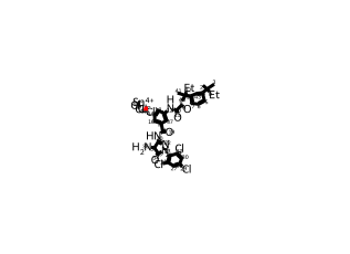 CCC(C)(C)c1ccc(OCC(=O)Nc2cccc(C(=O)NC3=NN(c4c(Cl)cc(Cl)cc4Cl)C(=O)C3N)c2)c(C(C)(C)CC)c1.[Cl-].[Cl-].[Cl-].[Cl-].[Sn+4]